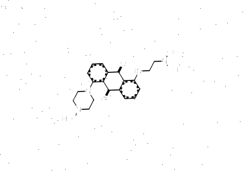 CN(C)CCNc1cccc2c1C(=O)c1cccc(N3CCN(C)CC3)c1C2=O